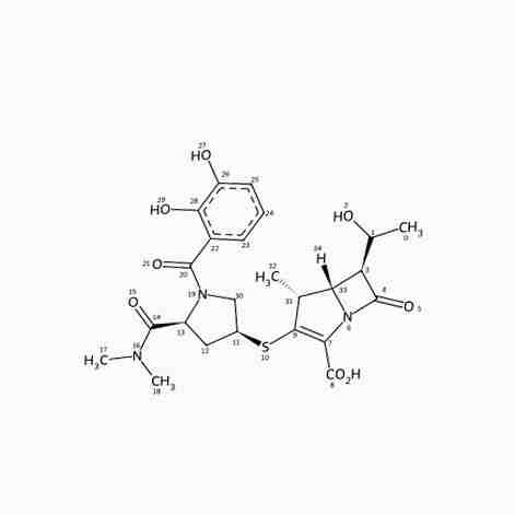 CC(O)[C@H]1C(=O)N2C(C(=O)O)=C(S[C@H]3C[C@@H](C(=O)N(C)C)N(C(=O)c4cccc(O)c4O)C3)[C@H](C)[C@H]12